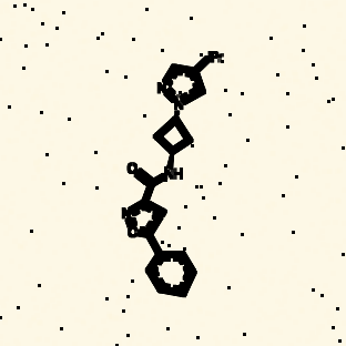 CC(C)c1cnn([C@H]2C[C@H](NC(=O)c3cc(-c4ccccc4)on3)C2)c1